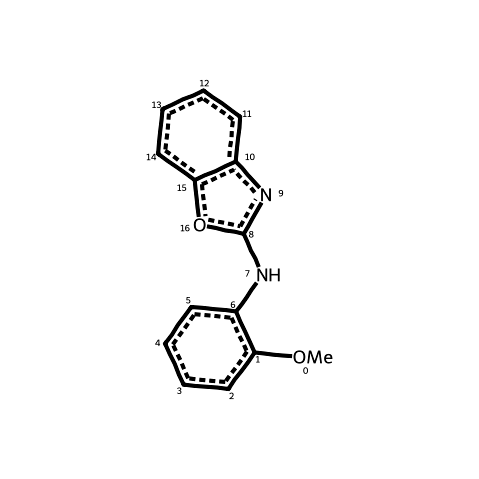 COc1ccccc1Nc1nc2ccccc2o1